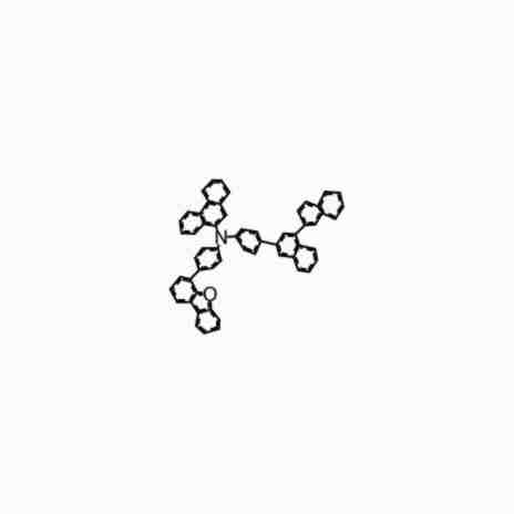 c1ccc2cc(-c3cc(-c4ccc(N(c5ccc(-c6cccc7c6oc6ccccc67)cc5)c5cc6ccccc6c6ccccc56)cc4)cc4ccccc34)ccc2c1